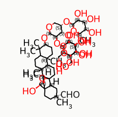 C[C@@H]1O[C@@H](O[C@H]2CO[C@@H](O[C@H]3CC[C@@]4(C)C(CC[C@]5(C)[C@@H]4CCC46OCC7(CC[C@@](C)(C=O)C[C@@H]74)[C@H](O)C[C@]65C)C3(C)C)[C@H](O[C@@H]3O[C@H](CO)[C@@H](O)[C@H](O)[C@H]3O)[C@H]2O[C@H]2O[C@H](CO)[C@@H](O)[C@H](O)[C@H]2O)[C@H](O)[C@H](O)[C@H]1O